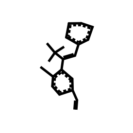 C=Cc1ccc(C)c(C(=Cc2ccccc2)C(C)(C)C)c1